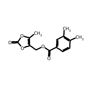 Cc1ccc(C(=O)OCc2oc(=O)oc2C)cc1C